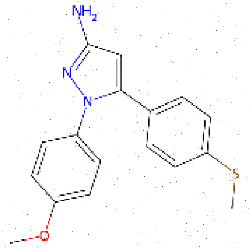 COc1ccc(-n2nc(N)cc2-c2ccc(SC)cc2)cc1